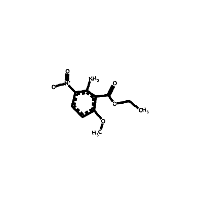 CCOC(=O)c1c(OC)ccc([N+](=O)[O-])c1N